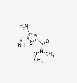 CON(C)C(=O)c1cc(N)c(C=N)s1